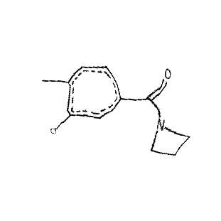 Cc1ccc(C(=O)N2CCC2)cc1Cl